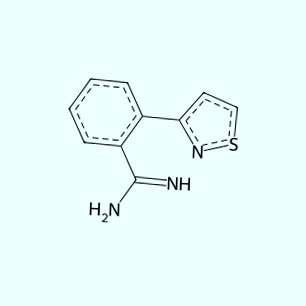 N=C(N)c1ccccc1-c1ccsn1